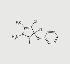 CN1N(N)C(C(F)(F)F)=C(Cl)C1(Cl)Oc1ccccc1